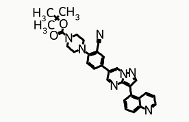 CC(C)(C)OC(=O)N1CCN(c2ccc(-c3cnc4c(-c5cccc6ncccc56)cnn4c3)cc2C#N)CC1